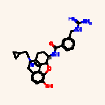 N=C(N)NCc1cccc(C(=O)N[C@@H]2CCC3C4Cc5ccc(O)c6c5C3(CCN4CC3CC3)C2O6)c1